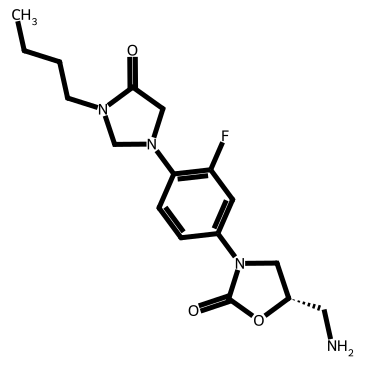 CCCCN1CN(c2ccc(N3C[C@H](CN)OC3=O)cc2F)CC1=O